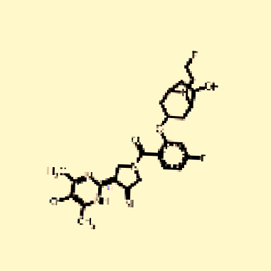 CC1=N/C(=C2\CN(C(=O)c3ccc(F)cc3OC3CC4CC(O)C(C3)N4CCF)CC2=N)NC(C)=C1Cl